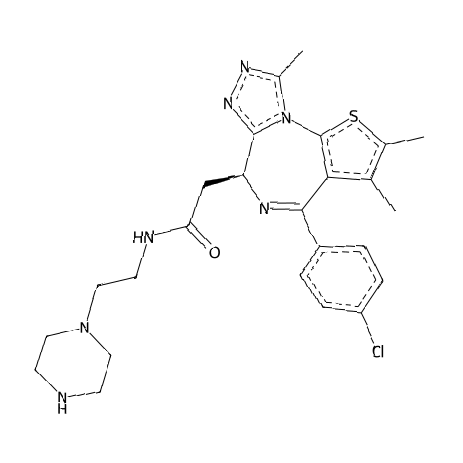 Cc1sc2c(c1C)C(c1ccc(Cl)cc1)=N[C@@H](CC(=O)NCCN1CCNCC1)c1nnc(C)n1-2